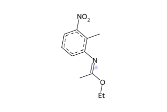 CCO/C(C)=N/c1cccc([N+](=O)[O-])c1C